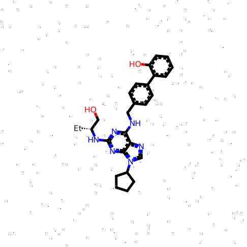 CC[C@H](CO)Nc1nc(NCc2ccc(-c3ccccc3O)cc2)c2ncn(C3CCCC3)c2n1